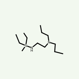 CCCN(CCC)CCN[Si](C)(CC)CC